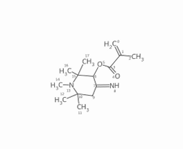 C=C(C)C(=O)OC1C(=N)CC(C)(C)N(C)C1(C)C